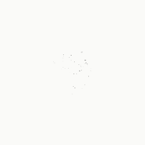 Cc1ccc2c(c1)c1c(n2S(C)(=O)=O)CCCN(C)C1